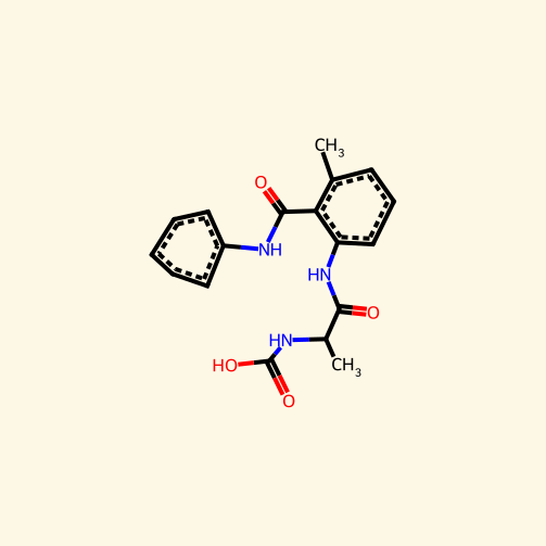 Cc1cccc(NC(=O)C(C)NC(=O)O)c1C(=O)Nc1ccccc1